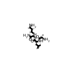 CC(C)C[C@H](NC(=O)[C@H](C)N)C(=O)N[C@@H](CCCCN)C(N)=O